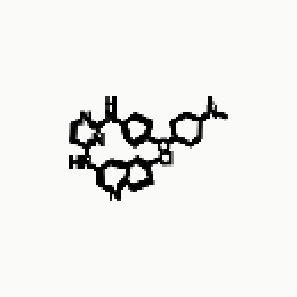 CN(C)C1CCC(Oc2ccc(Nc3nccc(Nc4cnc5ccc(Cl)cc5c4)n3)cc2)CC1